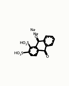 O=C1c2ccccc2C(=O)c2c1ccc(S(=O)(=O)O)c2S(=O)(=O)O.[Na].[Na]